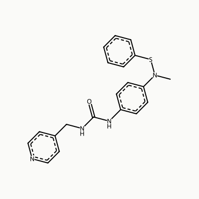 CN(Sc1ccccc1)c1ccc(NC(=O)NCc2ccncc2)cc1